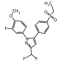 CCS(=O)(=O)c1ccc(-c2cc(C(F)F)nn2-c2ccc(OC)c(F)c2)cc1